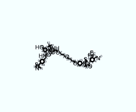 C=NCc1ccc(N2C(=O)C(C)(C)N(c3ccc(OCCCCOCCCCOCC(=O)N[C@H](C(=O)N4C[C@H](O)C[C@H]4C(=O)NCc4ccc(-c5scnc5C)cc4)C(C)(C)C)cc3)C2=S)cc1C(F)(F)F